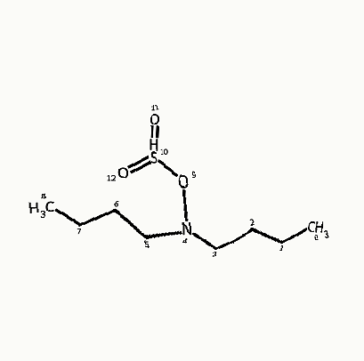 CCCCN(CCCC)O[SH](=O)=O